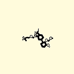 COCOc1c(OC)cccc1-c1ccc2c(I)nn(COCC[Si](C)(C)C)c2c1